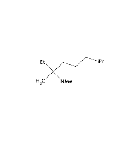 CCC(C)(CCCC(C)C)NC